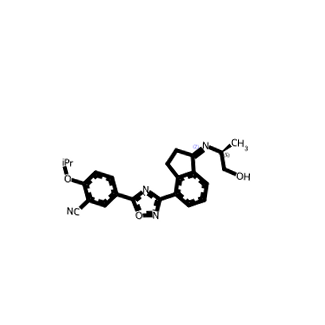 CC(C)Oc1ccc(-c2nc(-c3cccc4c3CC/C4=N/[C@@H](C)CO)no2)cc1C#N